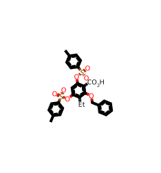 CCc1c(OS(=O)(=O)c2ccc(C)cc2)cc(OS(=O)(=O)c2ccc(C)cc2)c(C(=O)O)c1OCc1ccccc1